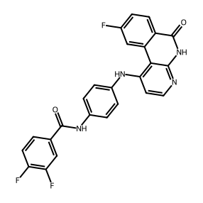 O=C(Nc1ccc(Nc2ccnc3[nH]c(=O)c4ccc(F)cc4c23)cc1)c1ccc(F)c(F)c1